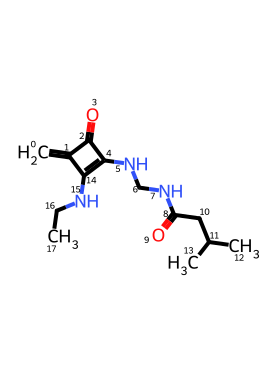 C=C1C(=O)C(NCNC(=O)CC(C)C)=C1NCC